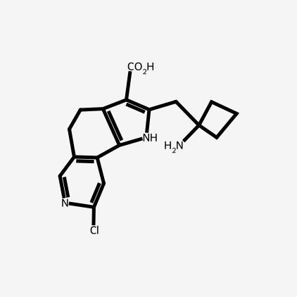 NC1(Cc2[nH]c3c(c2C(=O)O)CCc2cnc(Cl)cc2-3)CCC1